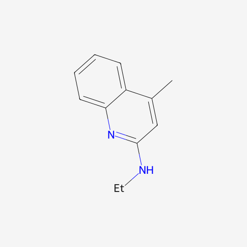 CCNc1cc(C)c2ccccc2n1